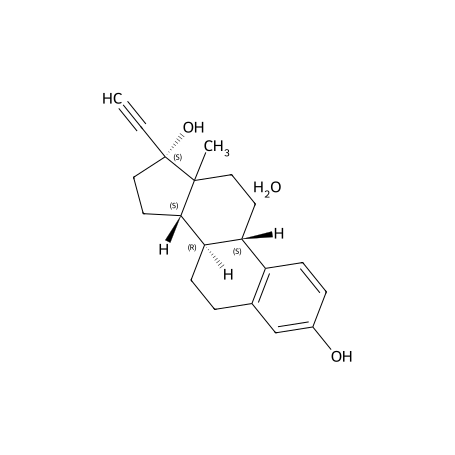 C#C[C@]1(O)CC[C@H]2[C@@H]3CCc4cc(O)ccc4[C@H]3CCC21C.O